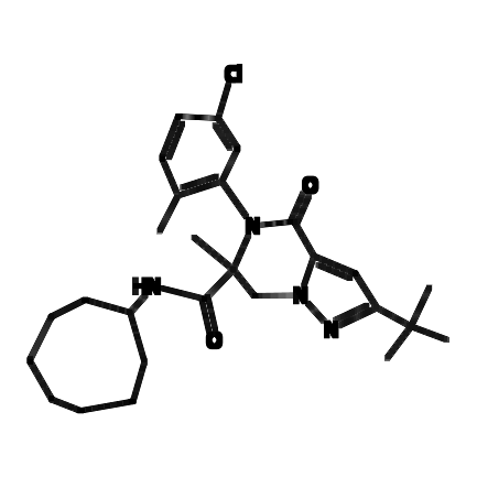 Cc1ccc(Cl)cc1N1C(=O)c2cc(C(C)(C)C)nn2CC1(C)C(=O)NC1CCCCCCC1